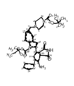 CC(C)(C)OC(=O)N1CCN(Cc2ccc3c(c2)cc(-c2cc(-c4ccco4)c(N)c4c2C(=O)NC4=O)n3C(=O)OC(C)(C)C)CC1